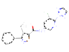 CCc1c(-c2ccccc2)nsc1C(=O)Nc1cnc(-n2nccn2)c(Cl)c1